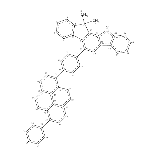 CC1(C)c2ccccc2-c2c(-c3ccc(-c4ccc5ccc6c(-c7ccccc7)ccc7ccc4c5c76)cc3)cc3c(oc4ccccc43)c21